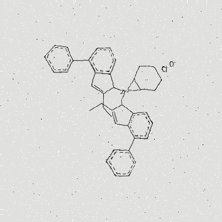 CCC1=Cc2c(-c3ccccc3)cccc2[CH]1[Zr+2]1([CH]2C(CC)=Cc3c(-c4ccccc4)cccc32)[CH]2CCCC[CH]21.[Cl-].[Cl-]